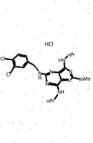 CCCNc1nc(NCc2ccc(Cl)c(Cl)c2)nc2c(NCCC)nc(NC)nc12.Cl